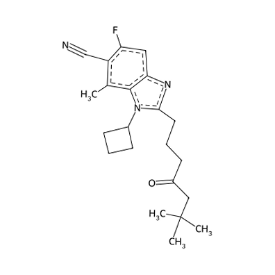 Cc1c(C#N)c(F)cc2nc(CCCC(=O)CC(C)(C)C)n(C3CCC3)c12